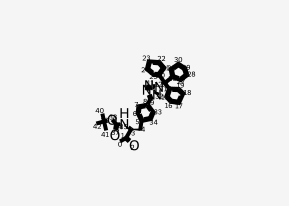 CC(=O)[C@H](Cc1ccc(-c2nnn(C(c3ccccc3)(c3ccccc3)c3ccccc3)n2)cc1)NC(=O)OC(C)(C)C